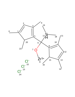 CC1=CC(C)=C(C([O][Zr+3])(C2=C(C)C=C(C)C2C)[SiH](C)C)C1C.[Cl-].[Cl-].[Cl-]